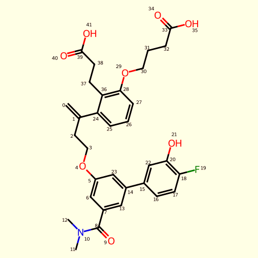 C=C(CCOc1cc(C(=O)N(C)C)cc(-c2ccc(F)c(O)c2)c1)c1cccc(OCCCC(=O)O)c1CCC(=O)O